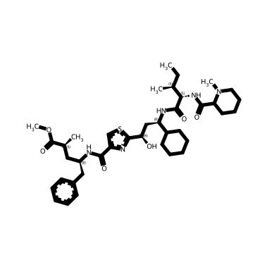 CC[C@H](C)[C@H](NC(=O)C1CCCCN1C)C(=O)N[C@H](C[C@@H](O)c1nc(C(=O)N[C@@H](Cc2ccccc2)C[C@H](C)C(=O)OC)cs1)C1CCCCC1